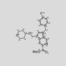 COC(=O)c1cc2c(COC3CCOCC3)cn(Cc3ccc(F)cc3)c2cn1